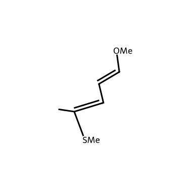 CO/C=C/C=C(\C)SC